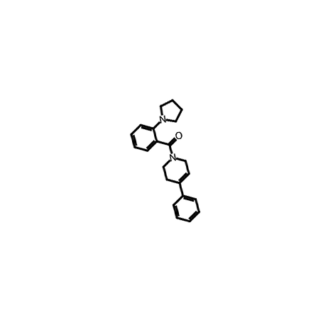 O=C(c1ccccc1N1CCCC1)N1CC=C(c2ccccc2)CC1